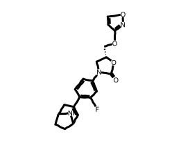 O=C1O[C@@H](COc2ccon2)CN1c1ccc(C2=CC3CCC(C2)N3)c(F)c1